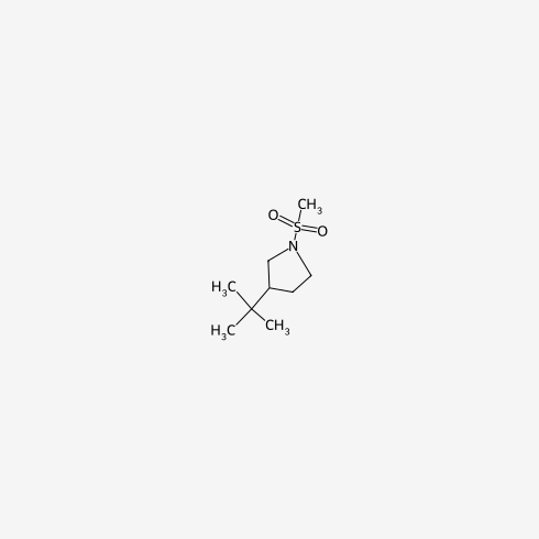 CC(C)(C)C1CCN(S(C)(=O)=O)C1